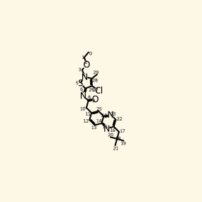 CCOCn1sc(=NC(=O)Cc2ccc3nc(CC(C)(C)C)cnc3c2)c(Cl)c1C